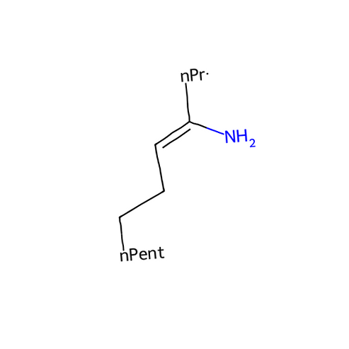 CC[CH]C(N)=CCCCCCCC